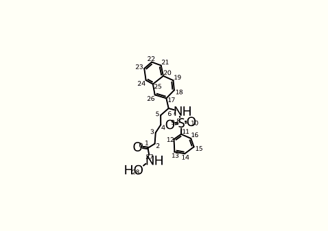 O=C(CCCCC(NS(=O)(=O)c1ccccc1)c1ccc2ccccc2c1)NO